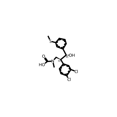 CSc1cccc([C@H](O)[C@H](CN(C)C(=O)O)c2ccc(Cl)c(Cl)c2)c1